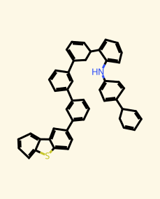 C1=CCC(c2ccc(Nc3ccccc3C3C=CC=C(c4cccc(-c5cccc(-c6ccc7sc8ccccc8c7c6)c5)c4)C3)cc2)C=C1